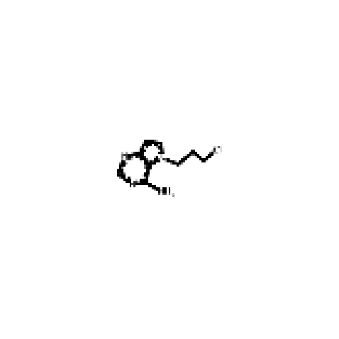 Nc1ncnc2ccn(CCCCl)c12